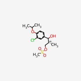 CC(C)Oc1ccc(C(O)[C@H](C)COS(C)(=O)=O)cc1Cl